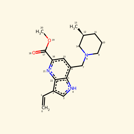 C=Cc1c[nH]c2c(CN3CCC[C@H](C)C3)cc(C(=O)OC)nc12